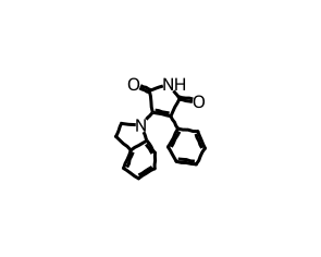 O=C1NC(=O)C(N2CCc3ccccc32)=C1c1ccccc1